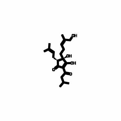 CC(C)=CC[C@H]1C(=O)C(C(=O)CC(C)C)=C(O)[C@]1(O)CCC=C(C)CO